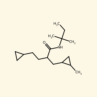 CCC(C)(C)NC(=O)C(CCC1CC1)CC1CC1C